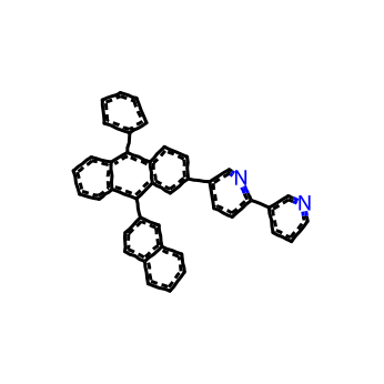 c1ccc(-c2c3ccccc3c(-c3ccc4ccccc4c3)c3cc(-c4ccc(-c5cccnc5)nc4)ccc23)cc1